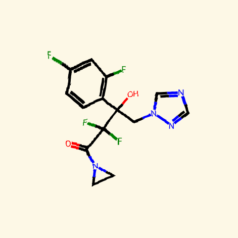 O=C(N1CC1)C(F)(F)C(O)(Cn1cncn1)c1ccc(F)cc1F